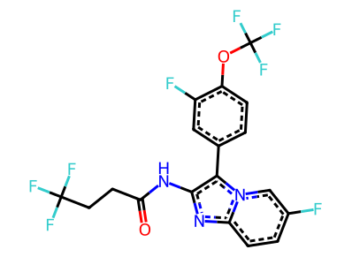 O=C(CCC(F)(F)F)Nc1nc2ccc(F)cn2c1-c1ccc(OC(F)(F)F)c(F)c1